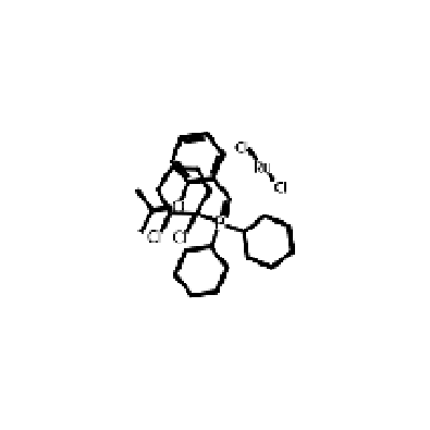 CC(C)Oc1ccccc1C=P(C1CCCCC1)(C1CCCCC1)C1(Cl)CCCCC1Cl.[Cl][Ru][Cl]